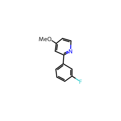 COc1ccnc(-c2cccc(F)c2)c1